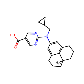 CC12CCCc3cc(N(CC4CC4)c4ncc(C(=O)O)cn4)cc(c31)CCC2